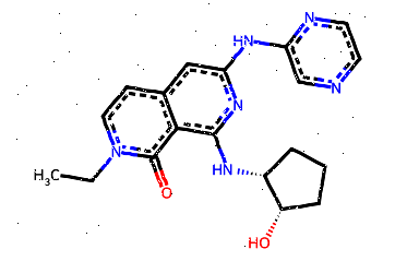 CCn1ccc2cc(Nc3cnccn3)nc(N[C@@H]3CCC[C@@H]3O)c2c1=O